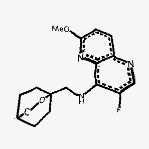 COc1ccc2ncc(F)c(NCC34CC[C](CC3)CO4)c2n1